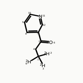 [2H]C([2H])([2H])CC(=O)c1cccnc1